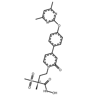 Cc1cc(C)nc(Oc2ccc(-c3ccn(CC[C@](C)(C(=O)NO)S(C)(=O)=O)c(=O)c3)cc2)n1